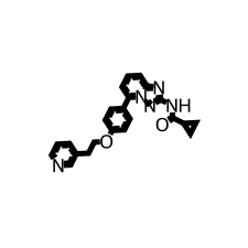 O=C(Nc1nc2cccc(-c3ccc(OCCc4cccnc4)cc3)n2n1)C1CC1